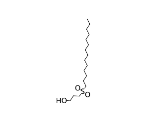 CCCCCCCCCCCCCCS(=O)(=O)CCCO